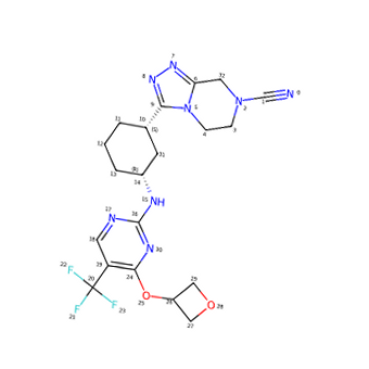 N#CN1CCn2c(nnc2[C@H]2CCC[C@@H](Nc3ncc(C(F)(F)F)c(OC4COC4)n3)C2)C1